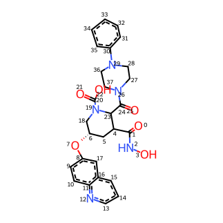 O=C(NO)C1C[C@H](Oc2ccc3ncccc3c2)CN(C(=O)O)C1C(=O)N1CCN(c2ccccc2)CC1